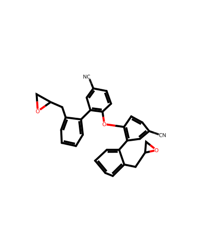 N#Cc1ccc(Oc2ccc(C#N)cc2-c2ccccc2CC2CO2)c(-c2ccccc2CC2CO2)c1